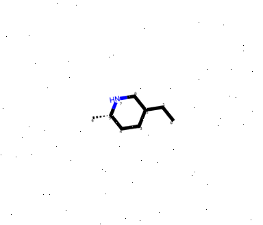 CCC1CC[C@H](C)NC1